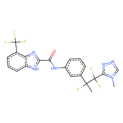 Cn1cnnc1C(F)(F)C(C)(F)c1cccc(NC(=O)c2nc3c(C(F)(F)F)cccc3[nH]2)c1